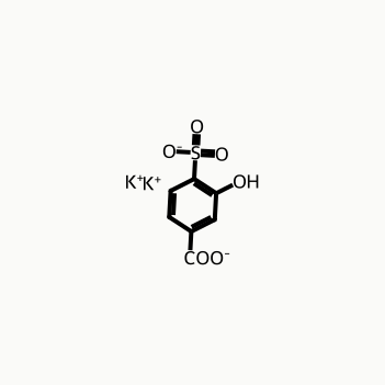 O=C([O-])c1ccc(S(=O)(=O)[O-])c(O)c1.[K+].[K+]